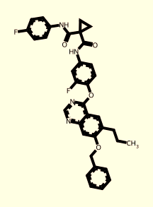 CCCc1cc2c(Oc3ccc(NC(=O)C4(C(=O)Nc5ccc(F)cc5)CC4)cc3F)ncnc2cc1OCc1ccccc1